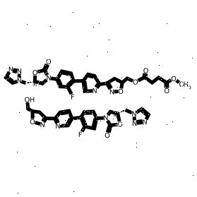 COC(=O)CCC(=O)OCC1CC(c2ccc(-c3ccc(N4C[C@H](Cn5ccnn5)OC4=O)cc3F)cn2)=NO1.O=C1O[C@@H](Cn2ccnn2)CN1c1ccc(-c2ccc(C3=NOC(CO)C3)nc2)c(F)c1